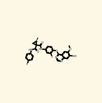 COc1cc2c(Oc3ccc(NC(=O)C4(C(=O)Nc5ccc(F)cc5)C[C@H]4C)cc3F)ncnc2cc1O